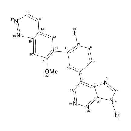 CCn1cnc2c(-c3ccc(F)c(-c4cc5ccnnc5cc4OC)c3)cnnc21